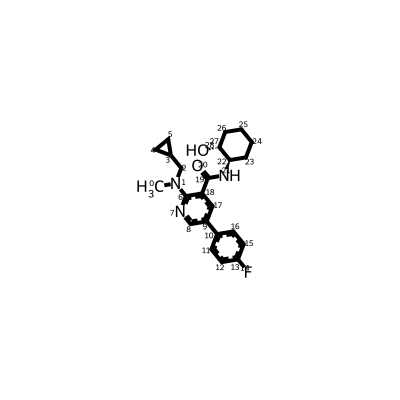 CN(CC1CC1)c1ncc(-c2ccc(F)cc2)cc1C(=O)N[C@@H]1CCCC[C@H]1O